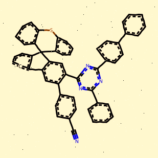 N#Cc1ccc(-c2cc3c(cc2-c2nc(-c4ccccc4)nc(-c4ccc(-c5ccccc5)cc4)n2)C2(c4ccccc4Sc4ccccc42)c2ccccc2-3)cc1